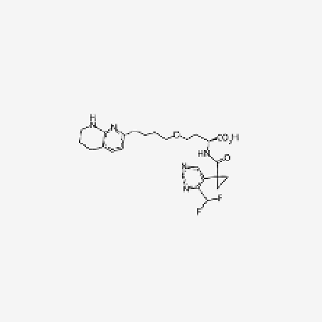 O=C(O)[C@H](CCOCCCCc1ccc2c(n1)NCCC2)NC(=O)C1(c2cncnc2C(F)F)CC1